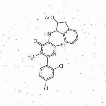 CCc1nc(-c2ccc(Cl)cc2Cl)n(C)c(=O)c1NC1c2ccccc2CC1OC(C)=O